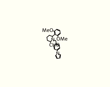 COc1cccc(OC)c1C1CCCC(C=O)N1Cc1ccc(-n2cccc2)cc1